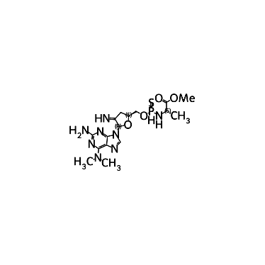 COC(=O)[C@H](C)N[PH](=S)OC[C@@H]1CC(=N)[C@H](n2cnc3c(N(C)C)nc(N)nc32)O1